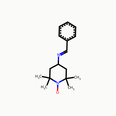 CC1(C)CC(N=Cc2ccccc2)CC(C)(C)N1[O]